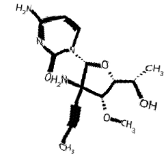 CC#CC1(N)[C@@H](OC)[C@@H]([C@H](C)O)O[C@H]1n1ccc(N)nc1=O